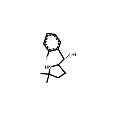 CC1(C)CCC([C@@H](O)c2ccccc2F)N1